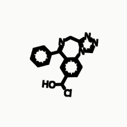 OC(Cl)c1ccc2c(c1)C(c1ccccc1)=NCc1nncn1-2